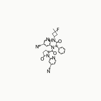 CC1(F)CC(NC(=O)[C@H](c2ccccc2)N(C(=O)[C@@H]2CCC(=O)N2c2cc(C#N)ccn2)c2cncc(C#N)c2)C1